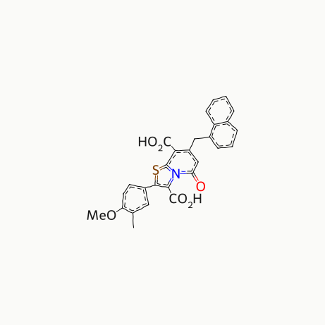 COc1ccc(-c2sc3c(C(=O)O)c(Cc4cccc5ccccc45)cc(=O)n3c2C(=O)O)cc1C